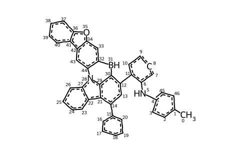 Cc1ccc(Nc2ccccc2-c2cc(-c3ccccc3)c3c4ccccc4n4c3c2Bc2cc3oc5ccccc5c3cc2-4)cc1